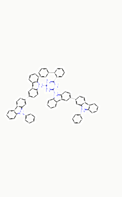 c1ccc(-c2ccccc2-c2nc(-n3c4ccccc4c4cc(-c5ccc6c7ccccc7n(-c7ccccc7)c6c5)ccc43)nc(-n3c4ccccc4c4cc(-c5ccc6c7ccccc7n(-c7ccccc7)c6c5)ccc43)n2)cc1